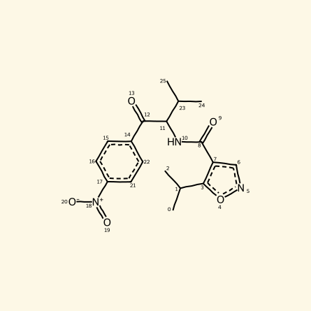 CC(C)c1oncc1C(=O)NC(C(=O)c1ccc([N+](=O)[O-])cc1)C(C)C